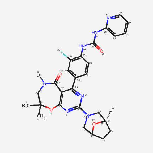 CCN1CC(C)(C)Oc2nc(N3CC4CC[C@H](C3)O4)nc(-c3ccc(NC(=O)Nc4ccccn4)c(F)c3)c2C1=O